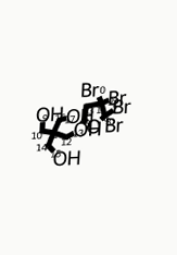 BrC1(Br)CCOC1(Br)Br.OCC(CO)(CO)CO